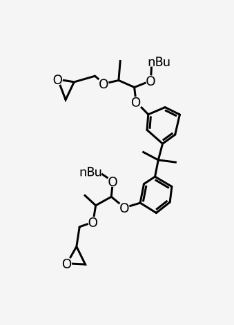 CCCCOC(Oc1cccc(C(C)(C)c2cccc(OC(OCCCC)C(C)OCC3CO3)c2)c1)C(C)OCC1CO1